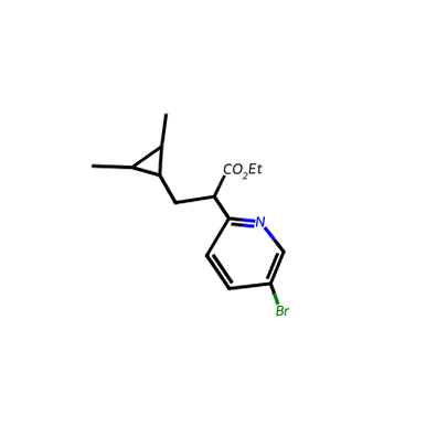 CCOC(=O)C(CC1C(C)C1C)c1ccc(Br)cn1